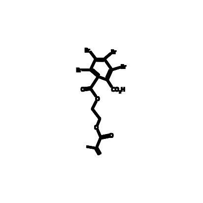 C=C(C)C(=O)OCCOC(=O)c1c(Br)c(Br)c(Br)c(Br)c1C(=O)O